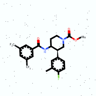 Cc1cc([C@@H]2CN(C(=O)OC(C)(C)C)CCC2NC(=O)c2cc(C(F)(F)F)cc(C(F)(F)F)c2)ccc1F